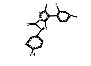 Cc1nn2c(c1-c1ccc(F)cc1F)N=C(c1ccc(C#N)cc1)C2=O